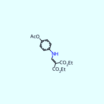 CCOC(=O)C(=CNc1ccc(OC(C)=O)cc1)C(=O)OCC